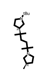 C[C@@H]1CCN(C(C)(C)CCC(C)(C)[C@H]2CCN(C(C)(C)C)C2)C1